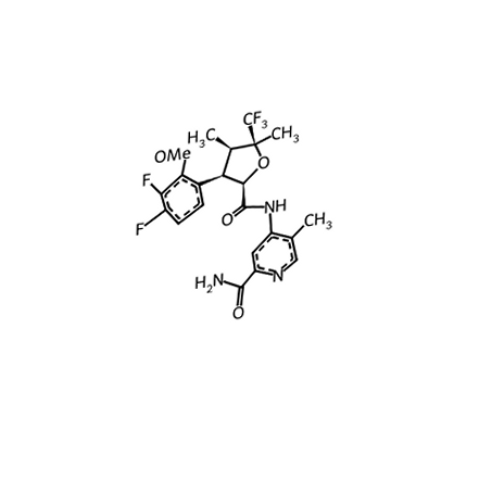 COc1c([C@H]2[C@@H](C)[C@@](C)(C(F)(F)F)O[C@H]2C(=O)Nc2cc(C(N)=O)ncc2C)ccc(F)c1F